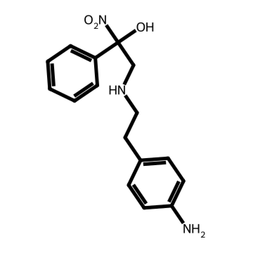 Nc1ccc(CCNCC(O)(c2ccccc2)[N+](=O)[O-])cc1